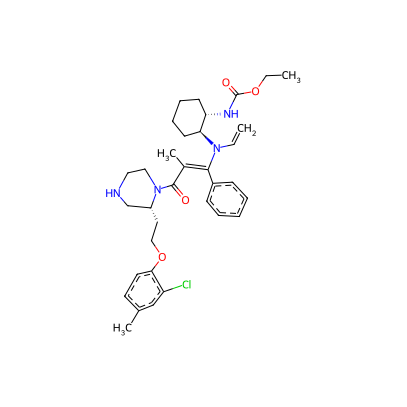 C=CN(/C(=C(\C)C(=O)N1CCNC[C@H]1CCOc1ccc(C)cc1Cl)c1ccccc1)[C@H]1CCCC[C@@H]1NC(=O)OCC